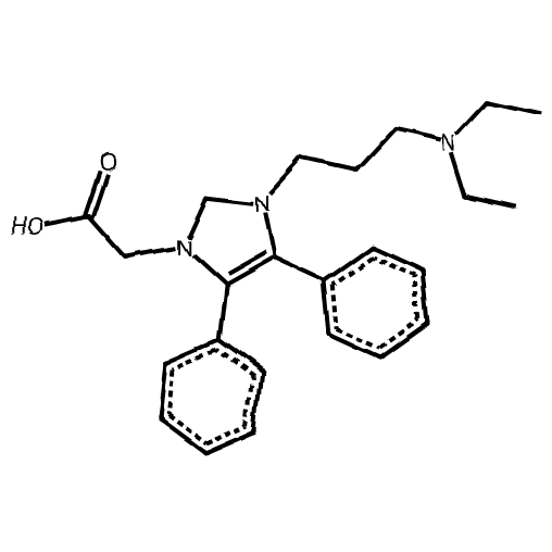 CCN(CC)CCCN1CN(CC(=O)O)C(c2ccccc2)=C1c1ccccc1